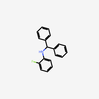 Fc1ccccc1NC(c1ccccc1)c1ccccc1